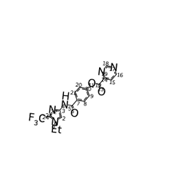 CCn1cc(NC(=O)c2ccc(OC(=O)c3ccncn3)cc2)nc1C(F)(F)F